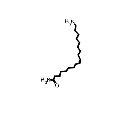 NCCCCCCCC/C=C\CCCCCCCC(N)=O